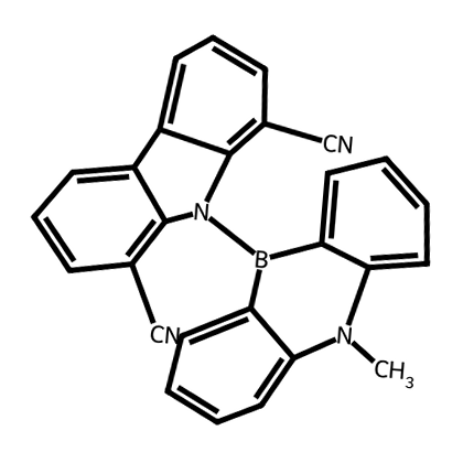 CN1c2ccccc2B(n2c3c(C#N)cccc3c3cccc(C#N)c32)c2ccccc21